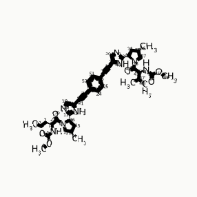 CCC[C@H](NC(=O)OC)C(=O)N1C[C@@H](C)C[C@H]1c1ncc(C#Cc2ccc(C#Cc3cnc([C@@H]4C[C@H](C)CN4C(=O)[C@@H](NC(=O)OC)C(C)C)[nH]3)cc2)[nH]1